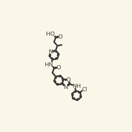 CC(CC(=O)O)c1ccc(NC(=O)Cc2ccc3nc(Nc4ccccc4Cl)oc3c2)cn1